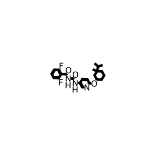 CC(C)C1(C)CCCC(Oc2ccc(NC(=O)NC(=O)c3c(F)cccc3F)cn2)C1